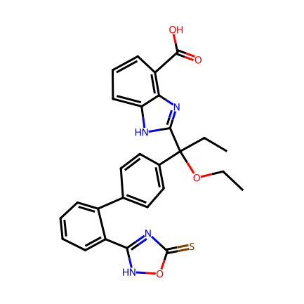 CCOC(CC)(c1ccc(-c2ccccc2-c2nc(=S)o[nH]2)cc1)c1nc2c(C(=O)O)cccc2[nH]1